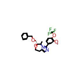 COc1cc(-c2ncc3n2C(C)[C@@H](COCc2ccccc2)OCC3)ccc1OC(F)(F)F